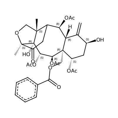 C=C1[C@@H](O)C[C@H](OC(C)=O)[C@@]2(COC(=O)c3ccccc3)[C@@H](OC(C)=O)[C@H](OC(C)=O)[C@@]3(O)[C@]4(C)OC[C@]3(C)C(CC4=O)[C@@H](OC(C)=O)[C@H]12